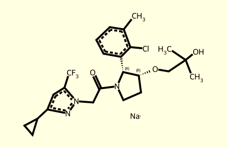 Cc1cccc([C@@H]2[C@H](OCC(C)(C)O)CCN2C(=O)Cn2nc(C3CC3)cc2C(F)(F)F)c1Cl.[Na]